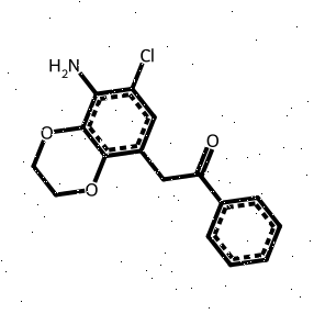 Nc1c(Cl)cc(CC(=O)c2ccccc2)c2c1OCCO2